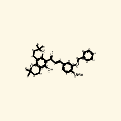 COc1ccc(/C=C/C(=O)c2c(O)c3c(c4c2OC(C)(C)CC4)OC(C)(C)CC3)cc1OCc1ccccc1